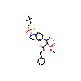 COC(=O)C(C(=O)OCc1ccccc1)=C(N)c1ccc2c(ccn2S(=O)(=O)CC[Si](C)(C)C)c1